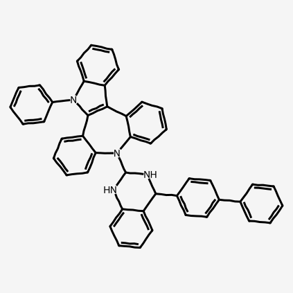 c1ccc(-c2ccc(C3NC(N4c5ccccc5-c5c(n(-c6ccccc6)c6ccccc56)-c5ccccc54)Nc4ccccc43)cc2)cc1